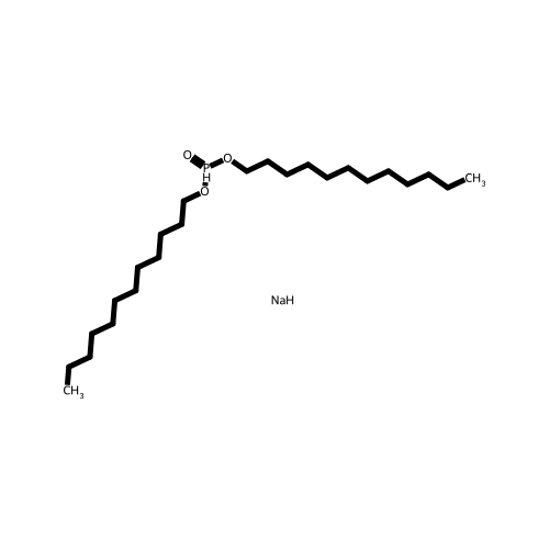 CCCCCCCCCCCCO[PH](=O)OCCCCCCCCCCCC.[NaH]